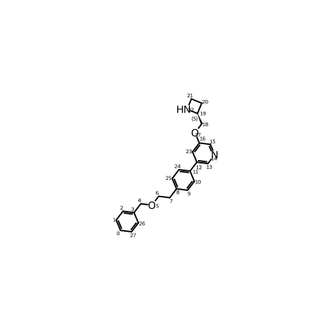 c1ccc(COCCc2ccc(-c3cncc(OC[C@@H]4CCN4)c3)cc2)cc1